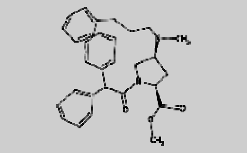 COC(=O)[C@@H]1C[C@H](N(C)CCCc2ccccc2)CN1C(=O)C(c1ccccc1)c1ccccc1